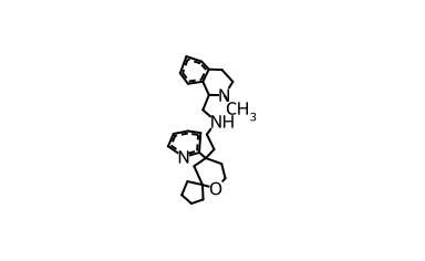 CN1CCc2ccccc2C1CNCCC1(c2ccccn2)CCOC2(CCCC2)C1